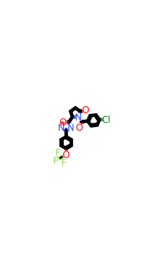 O=C1CCC(c2nc(-c3ccc(OC(F)(F)F)cc3)no2)N1C(=O)c1ccc(Cl)cc1